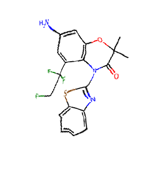 CC1(C)Oc2cc(N)cc(C(F)(F)CF)c2N(c2nc3ccccc3s2)C1=O